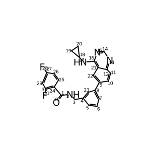 O=C(NCc1cccc(-c2ccc3ncnc(NC4CC4)c3c2)c1)c1ccc(F)cc1F